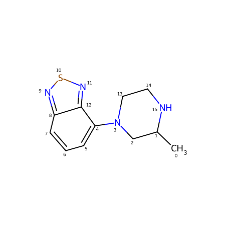 CC1CN(c2cccc3nsnc23)CCN1